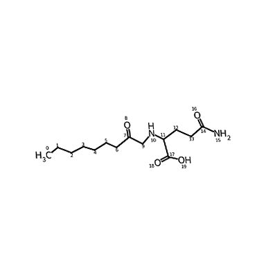 CCCCCCCC(=O)CNC(CCC(N)=O)C(=O)O